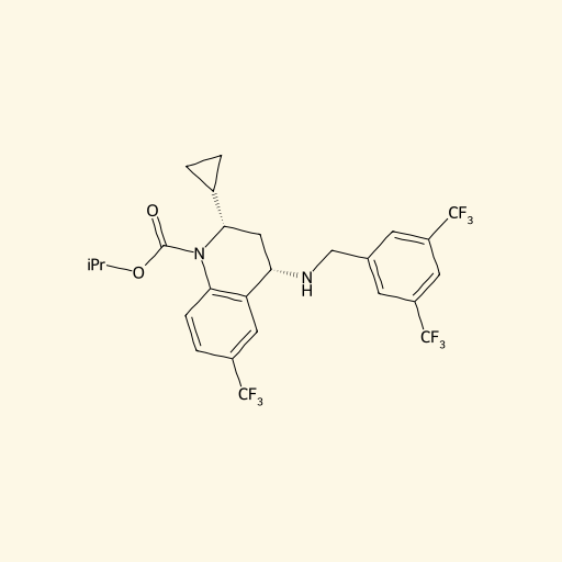 CC(C)OC(=O)N1c2ccc(C(F)(F)F)cc2[C@@H](NCc2cc(C(F)(F)F)cc(C(F)(F)F)c2)C[C@H]1C1CC1